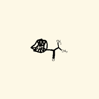 CC(C)C(=O)[C]12[CH]3[CH]4[CH]5[CH]1[Fe]45321678[CH]2[CH]1[CH]6[CH]7[CH]28